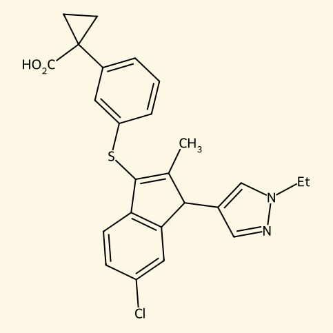 CCn1cc(C2C(C)=C(Sc3cccc(C4(C(=O)O)CC4)c3)c3ccc(Cl)cc32)cn1